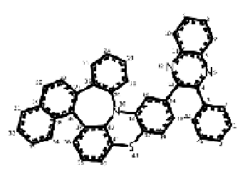 c1ccc(-c2nc3ccccc3nc2-c2ccc3c(c2)N2c4ccccc4-c4ccc5ccccc5c4-c4cccc(c42)S3)cc1